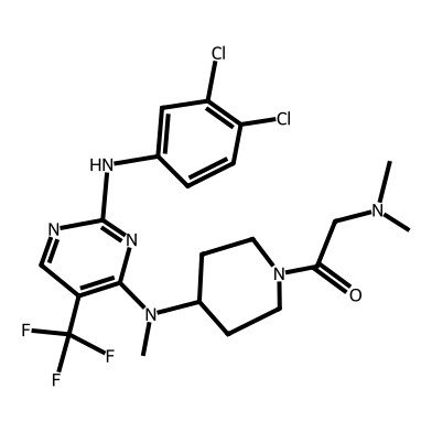 CN(C)CC(=O)N1CCC(N(C)c2nc(Nc3ccc(Cl)c(Cl)c3)ncc2C(F)(F)F)CC1